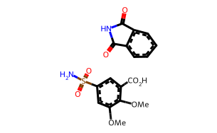 COc1cc(S(N)(=O)=O)cc(C(=O)O)c1OC.O=C1NC(=O)c2ccccc21